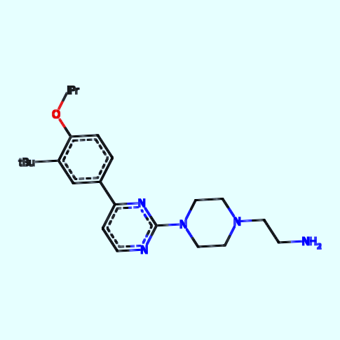 CC(C)Oc1ccc(-c2ccnc(N3CCN(CCN)CC3)n2)cc1C(C)(C)C